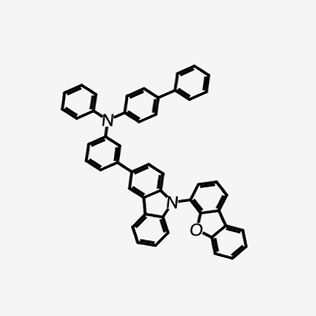 c1ccc(-c2ccc(N(c3ccccc3)c3cccc(-c4ccc5c(c4)c4ccccc4n5-c4cccc5c4oc4ccccc45)c3)cc2)cc1